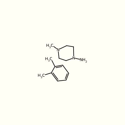 CN1CCN(N)CC1.Cc1ccccc1C